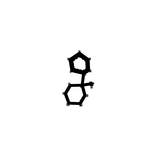 BrC1(c2cc[c]cc2)CCCCC1